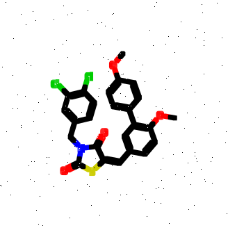 COc1ccc(-c2cc(C=C3SC(=O)N(Cc4ccc(Cl)c(Cl)c4)C3=O)ccc2OC)cc1